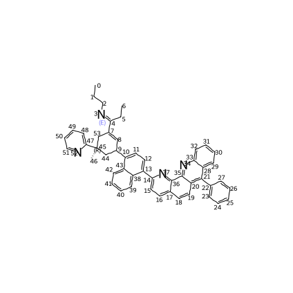 CCC/N=C(\CC)C1=CC(c2ccc(-c3ccc4ccc5c(-c6ccccc6)c6ccccc6nc5c4n3)c3ccccc23)C[C@@](C)(c2ccccn2)C1